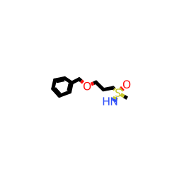 CS(=N)(=O)CCCOCc1ccccc1